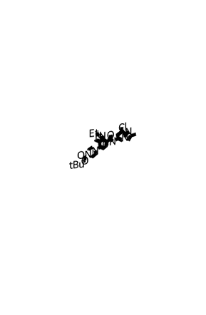 CCn1cc2c(N3CCN(C(=O)OC(C)(C)C)CC3)ccc(C(=O)Nc3cc(Cl)c4nc(C)cn4c3)c2n1